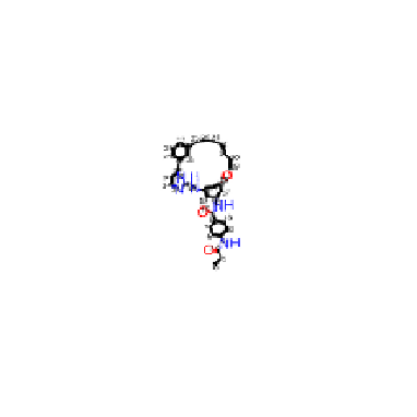 C=CC(=O)Nc1ccc(C(=O)Nc2cc3cc(c2)OCC/C=C/CCCc2cccc(c2)-c2ccnc(n2)N3)cc1